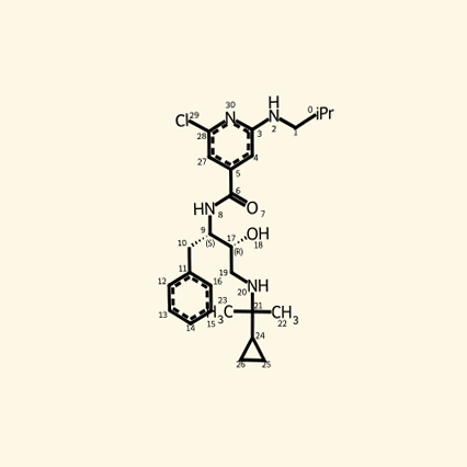 CC(C)CNc1cc(C(=O)N[C@@H](Cc2ccccc2)[C@H](O)CNC(C)(C)C2CC2)cc(Cl)n1